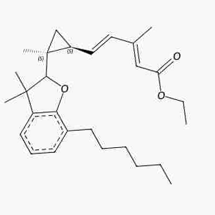 CCCCCCc1cccc2c1OC([C@@]1(C)C[C@H]1C=CC(C)=CC(=O)OCC)C2(C)C